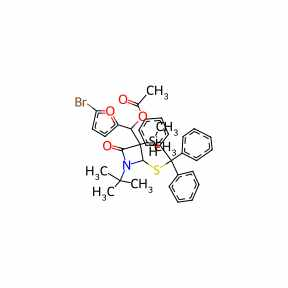 CC(=O)OC(c1ccc(Br)o1)C1([SiH](C)C)C(=O)N(C(C)(C)C)C1SC(c1ccccc1)(c1ccccc1)c1ccccc1